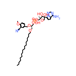 CCCCCCCCCCCCCCCCCCOC[C@H](COP(=O)(O)OC[C@@]1(C)OC[C@@](O)(c2ccc3c(N)ncnn23)[C@@H]1O)OCc1ccc(OC)c(C#N)c1